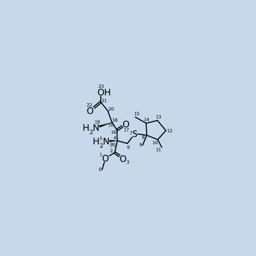 COC(=O)[C@@](N)(CSC1(C)C(C)CCC1C)C(=O)[C@@H](N)CC(=O)O